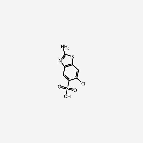 Nc1nc2cc(S(=O)(=O)O)c(Cl)cc2s1